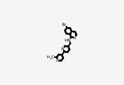 Cc1cc(-c2ccc(CNc3nccc4cc(Br)ccc34)cn2)ccn1